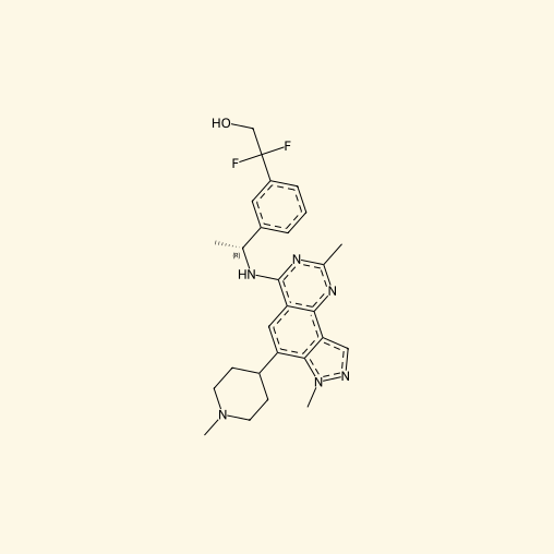 Cc1nc(N[C@H](C)c2cccc(C(F)(F)CO)c2)c2cc(C3CCN(C)CC3)c3c(cnn3C)c2n1